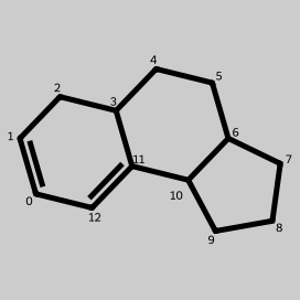 C1=CCC2CCC3CCCC3C2=C1